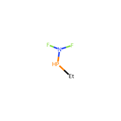 CCPN(F)F